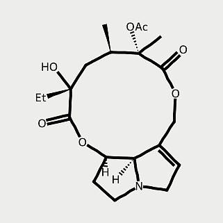 CC[C@@]1(O)C[C@@H](C)[C@](C)(OC(C)=O)C(=O)OCC2=CCN3CC[C@@H](OC1=O)[C@@H]23